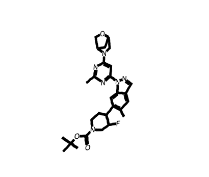 Cc1nc(N2CC3CC2CO3)cc(-n2ncc3cc(C)c(C4CCN(C(=O)OC(C)(C)C)CC4F)cc32)n1